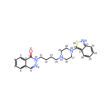 O=c1c2ccccc2cnn1CCCCN1CCN(c2snc3ccccc23)CC1